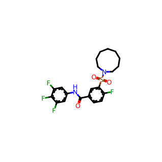 O=C(Nc1cc(F)c(F)c(F)c1)c1ccc(F)c(S(=O)(=O)N2CCCCCCCC2)c1